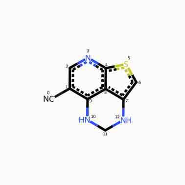 N#Cc1cnc2scc3c2c1NCN3